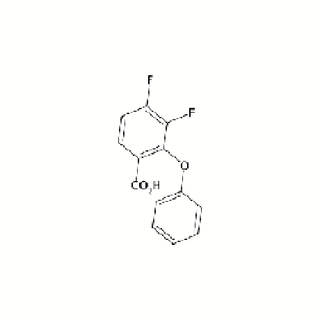 O=C(O)c1ccc(F)c(F)c1Oc1ccccc1